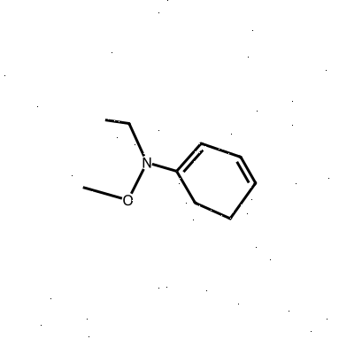 CCN(OC)C1=CC=CCC1